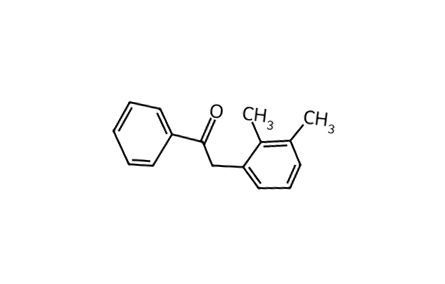 Cc1cccc(CC(=O)c2ccccc2)c1C